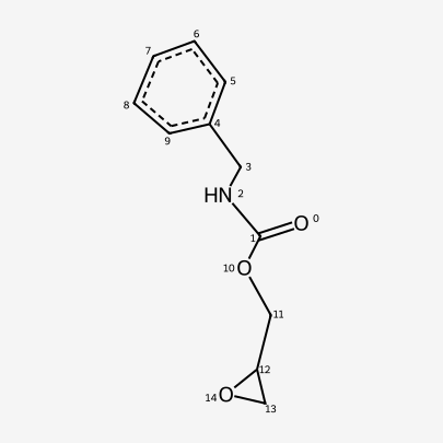 O=C(NCc1ccccc1)OCC1CO1